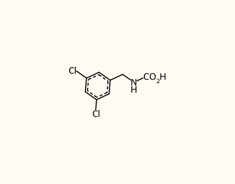 O=C(O)NCc1cc(Cl)cc(Cl)c1